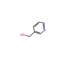 OCc1[c]ccnc1